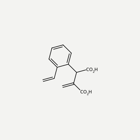 C=Cc1ccccc1C(C(=C)C(=O)O)C(=O)O